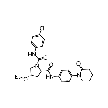 CCO[C@H]1C[C@H](C(=O)Nc2ccc(N3CCCCC3=O)cc2)N(C(=O)Nc2ccc(Cl)cc2)C1